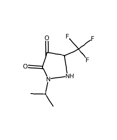 CC(C)N1NC(C(F)(F)F)C(=O)C1=O